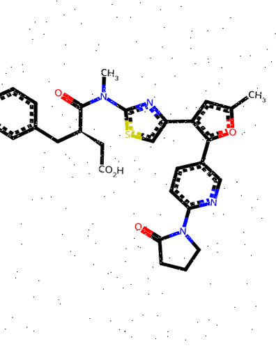 Cc1cc(-c2csc(N(C)C(=O)[C@@H](CC(=O)O)Cc3ccccc3)n2)c(-c2ccc(N3CCCC3=O)nc2)o1